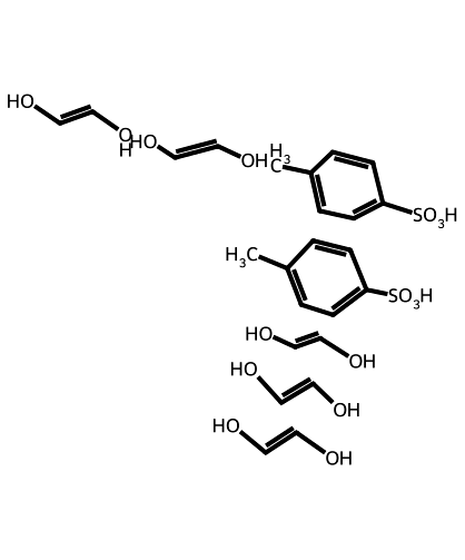 Cc1ccc(S(=O)(=O)O)cc1.Cc1ccc(S(=O)(=O)O)cc1.OC=CO.OC=CO.OC=CO.OC=CO.OC=CO